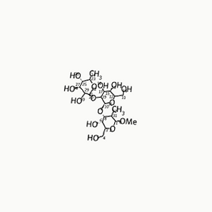 CO[C@H]1OC(CO)[C@H](O)[C@H](O[C@@H]2OC(CO)[C@H](O)[C@H](O)C2O[C@@H]2OC(C)[C@@H](O)[C@H](O)C2O)C1C